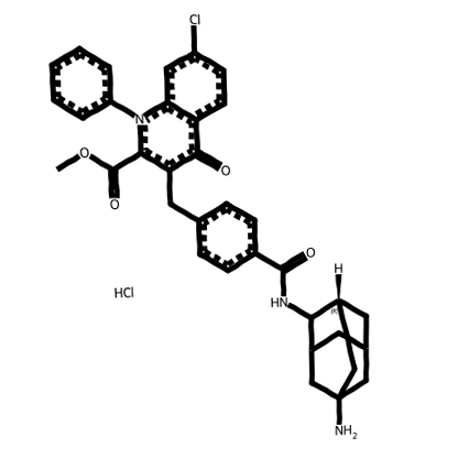 COC(=O)c1c(Cc2ccc(C(=O)NC3C4CC5C[C@@H]3CC(N)(C5)C4)cc2)c(=O)c2ccc(Cl)cc2n1-c1ccccc1.Cl